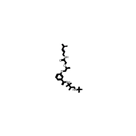 C=C(NC(C)(C)C(C)CNC(C)(C)C)c1cccc(OCC(C)OCC(=O)NC/C=C/C(C)C)c1